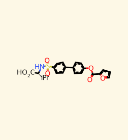 CC(C)[C@@H](NS(=O)(=O)c1ccc(-c2ccc(OC(=O)c3ccco3)cc2)cc1)C(=O)O